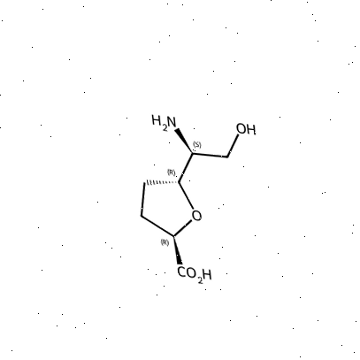 N[C@@H](CO)[C@H]1CC[C@H](C(=O)O)O1